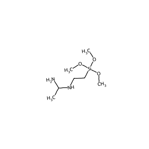 CO[Si](CCNC(C)N)(OC)OC